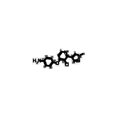 Cn1cc(-c2nccc(Oc3ccc(N)cc3)c2Cl)cn1